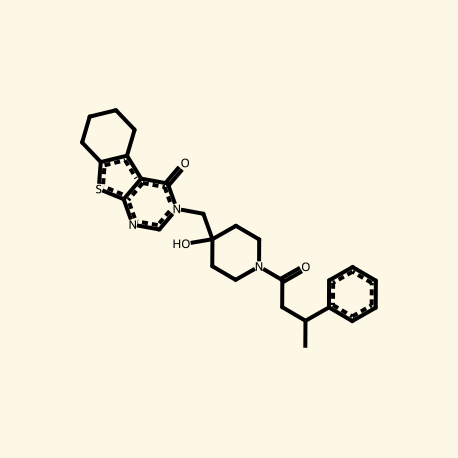 CC(CC(=O)N1CCC(O)(Cn2cnc3sc4c(c3c2=O)CCCC4)CC1)c1ccccc1